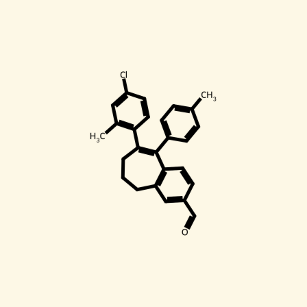 Cc1ccc(C2=C(c3ccc(Cl)cc3C)CCCc3cc(C=O)ccc32)cc1